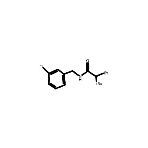 CC(C)C(C(=O)NCc1cccc(Cl)c1)C(C)(C)C